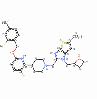 N#Cc1ccc(COc2ccc(F)c(C3CCN(Cc4nc5sc(C(=O)O)cc5n4CC4CCO4)CC3)n2)c(F)c1